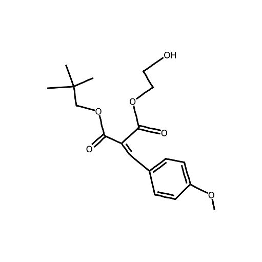 COc1ccc(C=C(C(=O)OCCO)C(=O)OCC(C)(C)C)cc1